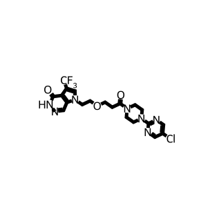 O=C(CCOCCn1cc(C(F)(F)F)c2c(=O)[nH]ncc21)N1CCN(c2ncc(Cl)cn2)CC1